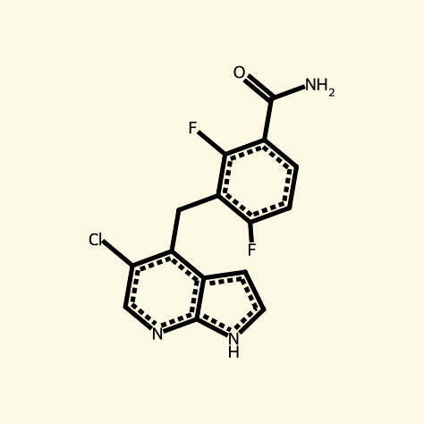 NC(=O)c1ccc(F)c(Cc2c(Cl)cnc3[nH]ccc23)c1F